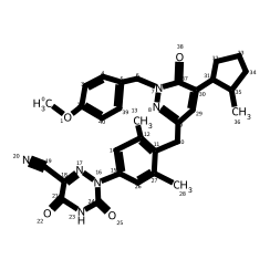 COc1ccc(Cn2nc(Cc3c(C)cc(-n4nc(C#N)c(=O)[nH]c4=O)cc3C)cc(C3CCCC3C)c2=O)cc1